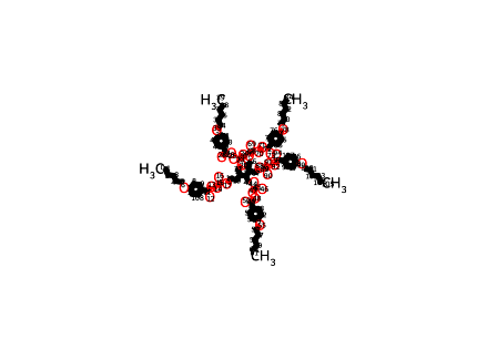 CCCCCCOc1ccc(C(=O)OOC(=O)OCCC(COC(=O)OOC(=O)c2ccc(OCCCCCC)cc2)C(COC(=O)OOC(=O)c2ccc(OCCCCCC)cc2)C(CCOC(=O)OOC(=O)c2ccc(OCCCCCC)cc2)COC(=O)OOC(=O)c2ccc(OCCCCCC)cc2)cc1